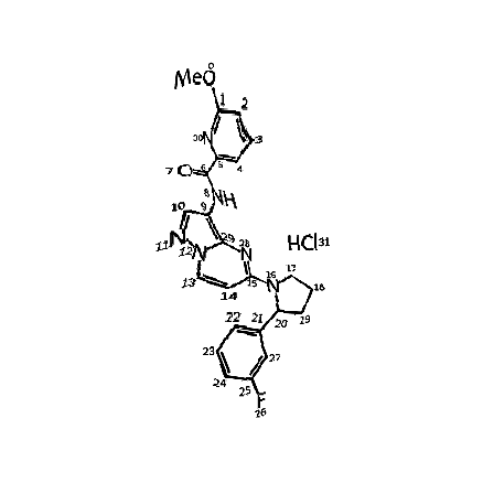 COc1cccc(C(=O)Nc2cnn3ccc(N4CCCC4c4cccc(F)c4)nc23)n1.Cl